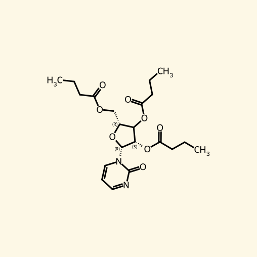 CCCC(=O)OC[C@H]1O[C@@H](n2cccnc2=O)[C@@H](OC(=O)CCC)C1OC(=O)CCC